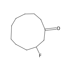 O=C1CCCCCCCCC(F)C1